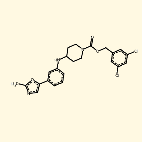 Cc1ncc(-c2cccc(NC3CCN(C(=O)OCc4cc(Cl)cc(Cl)c4)CC3)c2)o1